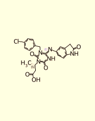 C[C@@H](CC(=O)O)n1c(=O)[nH]/c(=N\c2ccc3c(c2)CC(=O)N3)n(Cc2ccc(Cl)cc2)c1=O